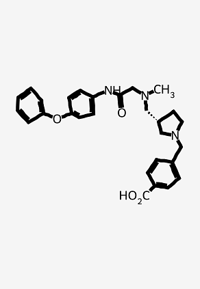 CN(CC(=O)Nc1ccc(Oc2ccccc2)cc1)C[C@@H]1CCN(Cc2ccc(C(=O)O)cc2)C1